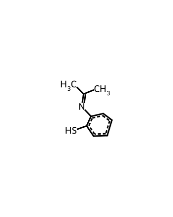 CC(C)=Nc1ccccc1S